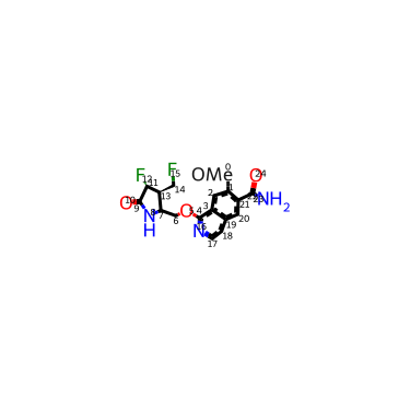 COc1cc2c(OCC3NC(=O)[C@H](F)[C@H]3CF)nccc2cc1C(N)=O